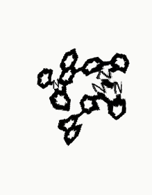 c1ccc(-n2c3ccccc3c3cc(-c4ccc5c6ccccc6n(-c6nc(-c7ccc(-c8cccc9ccccc89)cc7)c7ccccc7n6)c5c4)c4ccccc4c32)cc1